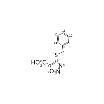 O=C(O)c1onnc1SCc1ccccc1